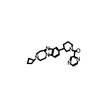 O=C(c1cnccn1)N1CCCC(c2ccc3c(c2)nc2n3CCN(C3CCC3)CC2)C1